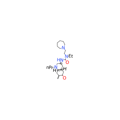 C=C1C[C@@H]2[C@@H](CC1=O)C[C@H](NC(=O)N(CC)CCN1CCCCCC1)CN2CCC